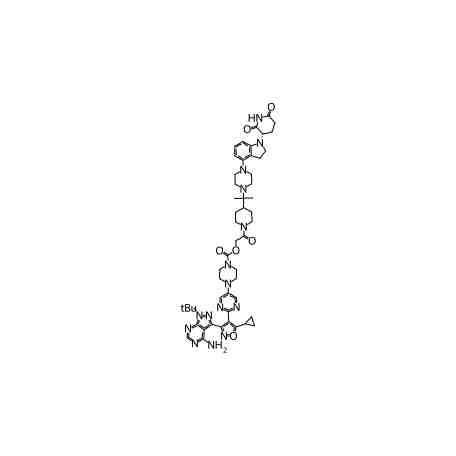 CC(C)(C1CCN(C(=O)COC(=O)N2CCN(c3cnc(-c4c(-c5nn(C(C)(C)C)c6ncnc(N)c56)noc4C4CC4)nc3)CC2)CC1)N1CCN(c2cccc3c2CCN3[C@H]2CCC(=O)NC2=O)CC1